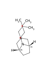 CCCCN1[C@@H]2CC[C@H]1CN(CC(C)C)C2